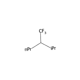 C[CH]CC(C(C)C)C(F)(F)F